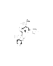 O=C(Nc1ccncc1F)c1cnc2c(NC3CC3)cc(N3CCOCC3)nn12